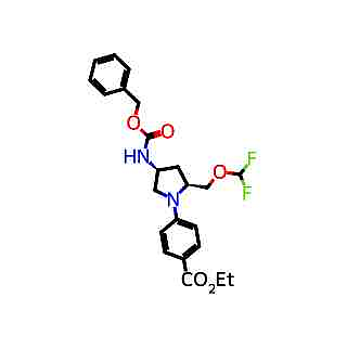 CCOC(=O)c1ccc(N2C[C@@H](NC(=O)OCc3ccccc3)C[C@H]2COC(F)F)cc1